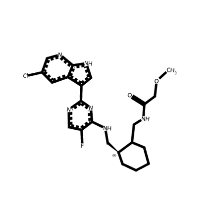 COCC(=O)NCC1CCCC[C@H]1CNc1nc(-c2c[nH]c3ncc(Cl)cc23)ncc1F